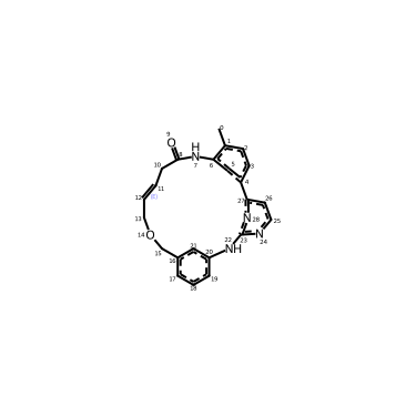 Cc1ccc2cc1NC(=O)C/C=C/COCc1cccc(c1)Nc1nccc-2n1